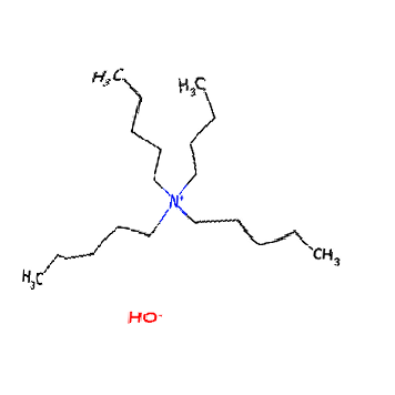 CCCCC[N+](CCCC)(CCCCC)CCCCC.[OH-]